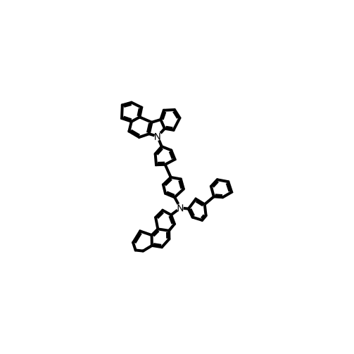 C1=Cc2c(ccc3cc(N(c4ccc(-c5ccc(-n6c7ccccc7c7c8ccccc8ccc76)cc5)cc4)c4cccc(-c5ccccc5)c4)ccc23)CC1